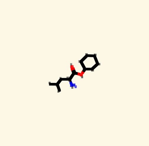 CC(C)C[C@H](N)C(=O)OC1CCCCC1